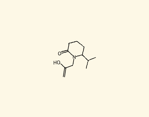 C=C(O)CN1C(=O)CCCC1C(C)C